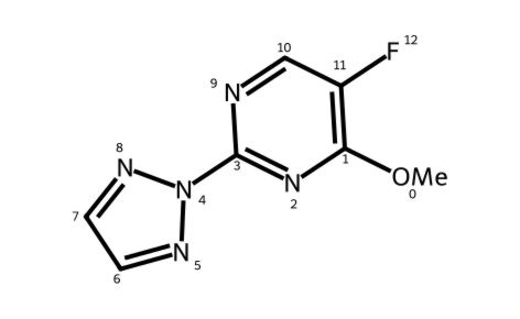 COc1nc(-n2nccn2)ncc1F